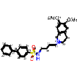 COc1cc2c(cc1OC)CN(CCCCNS(=O)(=O)c1ccc(-c3ccccc3)cc1)CC2